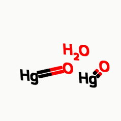 O.[O]=[Hg].[O]=[Hg]